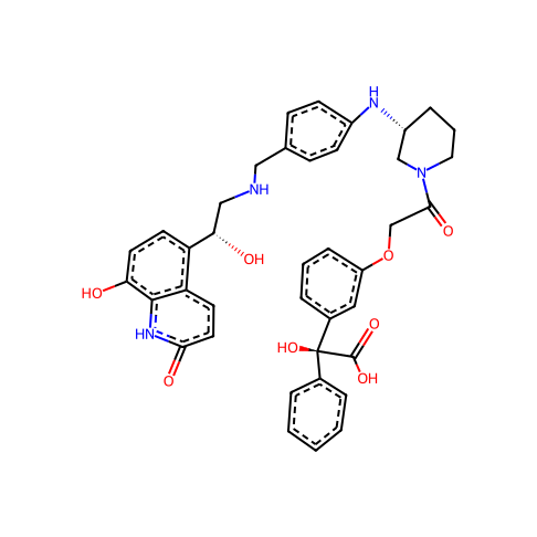 O=C(COc1cccc([C@](O)(C(=O)O)c2ccccc2)c1)N1CCC[C@@H](Nc2ccc(CNC[C@H](O)c3ccc(O)c4[nH]c(=O)ccc34)cc2)C1